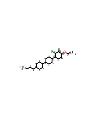 CCCCC1CCC(C2CCC(C3CCC(OCC)C(F)C3F)CC2)CC1